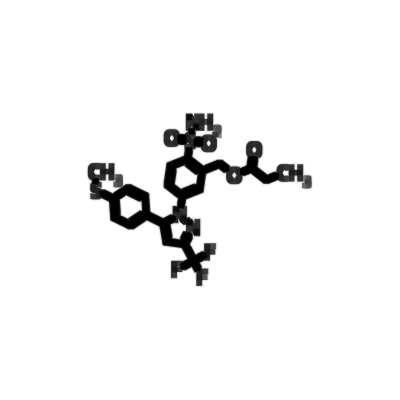 CCC(=O)OCc1cc(-n2nc(C(F)(F)F)cc2-c2ccc(SC)cc2)ccc1S(N)(=O)=O